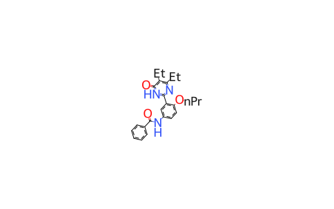 CCCOc1ccc(NC(=O)c2ccccc2)cc1-c1nc(CC)c(CC)c(=O)[nH]1